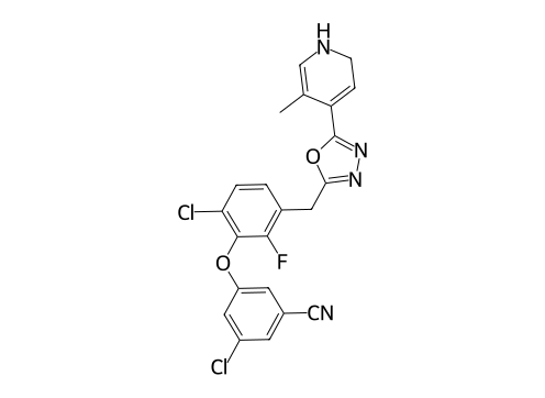 CC1=CNCC=C1c1nnc(Cc2ccc(Cl)c(Oc3cc(Cl)cc(C#N)c3)c2F)o1